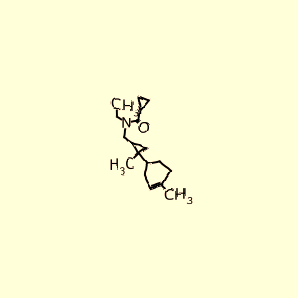 CCN(CC1CC1(C)C1CC=C(C)CC1)C(=O)C1CC1